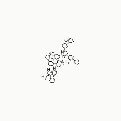 C=C/C=C\c1c(C)c2c(ccc3c4ccccc4n(-c4ccc(-c5nc(-c6ccc(-c7ccccc7)cc6)nc(-c6ccc7oc8ccccc8c7c6)n5)cc4C#N)c32)n1-c1ccc2c(c1)C(C)(C)c1ccccc1-2